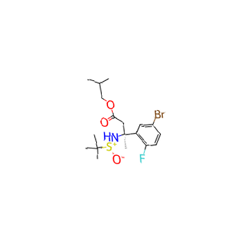 CC(C)COC(=O)C[C@](C)(N[S@+]([O-])C(C)(C)C)c1cc(Br)ccc1F